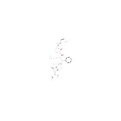 CC1(C)S[C@@H]2[C@H](NC(=O)C(NC(=O)N3CCN(N=C4C=CC(Cl)O4)C3=O)c3ccccc3)C(=O)N2[C@H]1C(=O)[O-].[Na+]